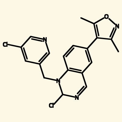 Cc1noc(C)c1-c1ccc2c(c1)C=NC(Cl)N2Cc1cncc(Cl)c1